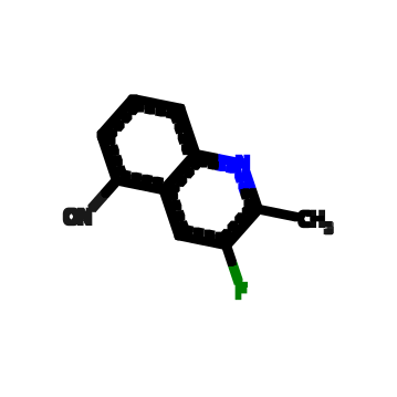 Cc1nc2cccc(N=O)c2cc1F